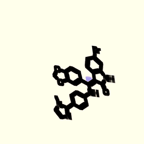 Cn1ccnc1-c1ccc(N/C(=C2\C(=O)Nc3cc(Br)ccc32)c2ccc3c(c2)OCO3)cc1